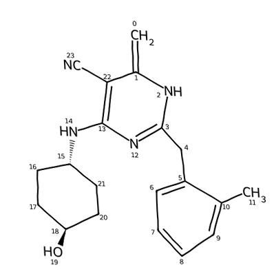 C=C1NC(Cc2ccccc2C)=NC(N[C@H]2CC[C@H](O)CC2)=C1C#N